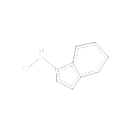 Cl[SiH2]n1ccc2ccccc21